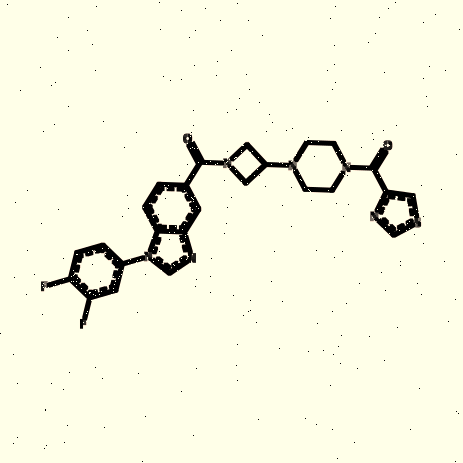 O=C(c1ccc2c(c1)ncn2-c1ccc(F)c(F)c1)N1CC(N2CCN(C(=O)c3cscn3)CC2)C1